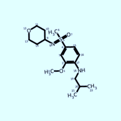 COc1cc(S(C)(=O)=NC2CCOCC2)ccc1NCC(C)C